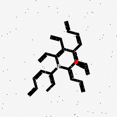 C=C\C=C/C(=C\C=C)C(/C=C)=C(/C=C)N(/C(C=C)=C/C=C)C(/C=C\C=C)=C/C